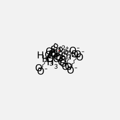 CO[C](=O)[Sn+2][c]1ccccc1.CO[C](=O)[Sn+2][c]1ccccc1.CO[C](=O)[Sn+2][c]1ccccc1.O=C([O-])CCCCCCC(=O)[O-].O=C([O-])CCCCCCC(=O)[O-].O=C([O-])CCCCCCC(=O)[O-]